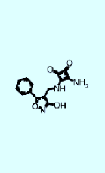 Nc1c(NCc2c(O)noc2-c2ccccc2)c(=O)c1=O